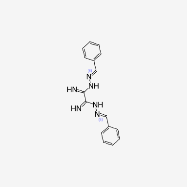 N=C(N/N=C/c1ccccc1)C(=N)N/N=C/c1ccccc1